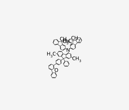 Cc1ccc2c(c1)C(c1ccccc1)(c1ccc(-c3cccc4c3oc3ccccc34)cc1)c1cc(C)cc(N(c3ccc4c(c3)C(C)(C)c3ccccc3-4)c3ccc4c(c3)C(C)(C)c3ccccc3-4)c1-2